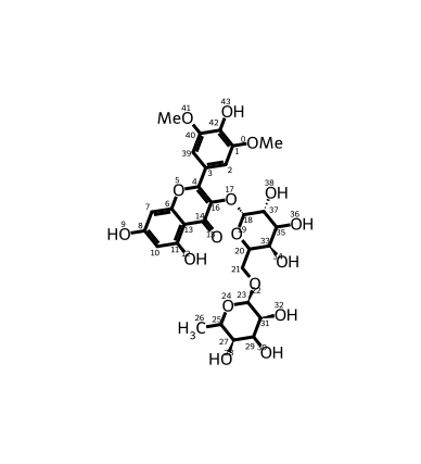 COc1cc(-c2oc3cc(O)cc(O)c3c(=O)c2O[C@H]2OC(CO[C@@H]3OC(C)[C@H](O)C(O)[C@@H]3O)[C@H](O)C(O)[C@H]2O)cc(OC)c1O